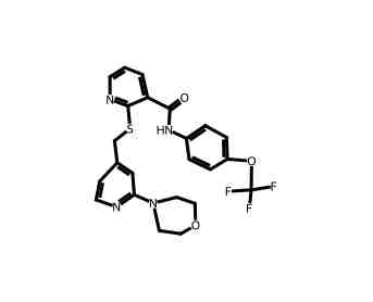 O=C(Nc1ccc(OC(F)(F)F)cc1)c1cccnc1SCc1ccnc(N2CCOCC2)c1